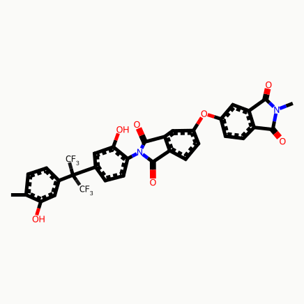 Cc1ccc(C(c2ccc(N3C(=O)c4ccc(Oc5ccc6c(c5)C(=O)N(C)C6=O)cc4C3=O)c(O)c2)(C(F)(F)F)C(F)(F)F)cc1O